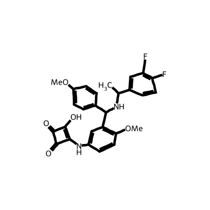 COc1ccc(C(NC(C)c2ccc(F)c(F)c2)c2cc(Nc3c(O)c(=O)c3=O)ccc2OC)cc1